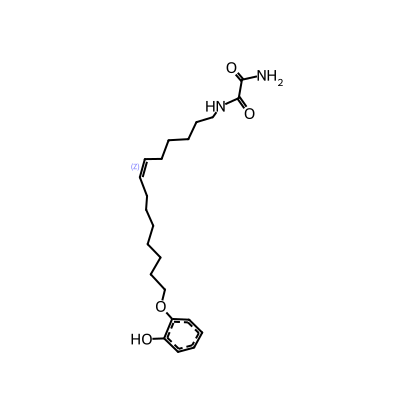 NC(=O)C(=O)NCCCCC/C=C\CCCCCCCOc1ccccc1O